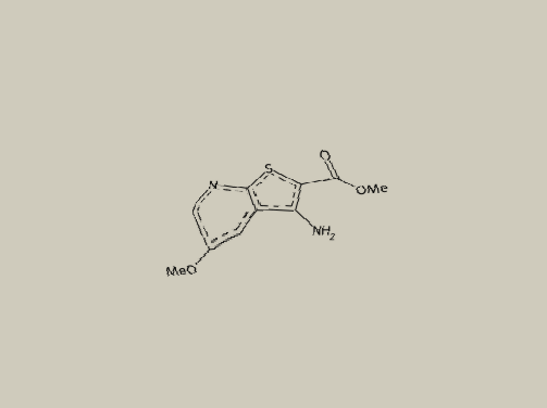 COC(=O)c1sc2ncc(OC)cc2c1N